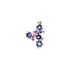 O=C(Nc1cc(N2C=CC=CC=N2)c(F)cc1C(=O)Nc1ccc(Cl)cn1)c1ncccn1